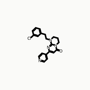 O=c1cc(-c2ccncc2)nc2n1CCCN2CCc1cccc(Cl)c1